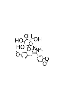 COc1ccc(Cc2c(O[C@@H]3O[C@H](CO)[C@@H](O)[C@H](O)[C@H]3O)nn(C(C)C)c2-c2ccc3c(c2)OCO3)cc1